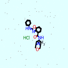 CN1C2COCC1CC(NC(=O)c1cccc3oc(Nc4ccccc4)nc13)C2.Cl